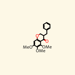 COc1cc2c(c(OC)c1OC)C(=O)C(Cc1ccccc1)CO2